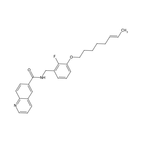 CC=CCCCCCOc1cccc(CNC(=O)c2ccc3ncccc3c2)c1F